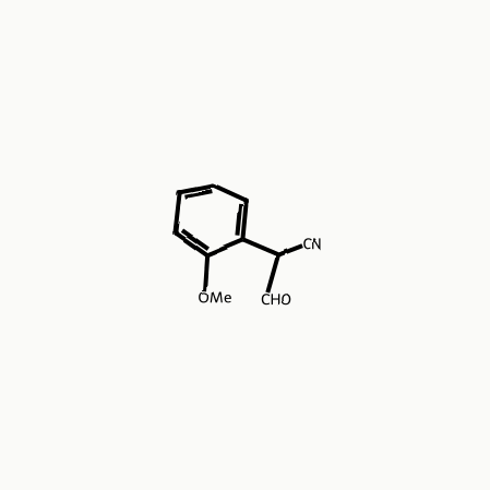 COc1ccccc1C(C#N)C=O